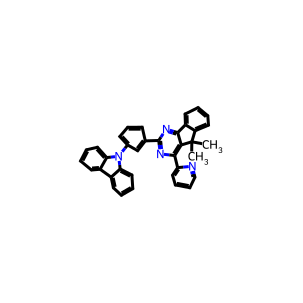 CC1(C)c2ccccc2-c2nc(-c3cccc(-n4c5ccccc5c5ccccc54)c3)nc(-c3ccccn3)c21